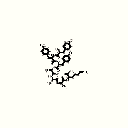 CC(NC(=O)C(C)NC(=O)C(Cc1ccc(Cl)cc1)NC(=O)C(Cc1ccc(Cl)cc1)NC(=O)C(N)Cc1ccc(Cl)cc1)C(=O)NC(C)C(=O)NC(CCCCN)C(N)=O